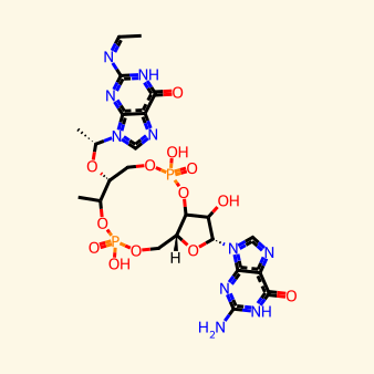 C/C=N\c1nc2c(ncn2[C@@H](C)O[C@@H]2COP(=O)(O)OC3C(O)[C@H](n4cnc5c(=O)[nH]c(N)nc54)O[C@@H]3COP(=O)(O)OC2C)c(=O)[nH]1